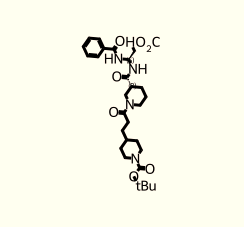 CC(C)(C)OC(=O)N1CCC(CCC(=O)N2CCC[C@@H](C(=O)N[C@H](CC(=O)O)NC(=O)c3ccccc3)C2)CC1